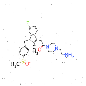 CC1=C(CC(=O)N2CCN(CCN)CC2)c2ccc(F)cc2C1Cc1ccc([S+](C)[O-])cc1